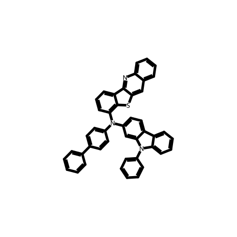 c1ccc(-c2ccc(N(c3ccc4c5ccccc5n(-c5ccccc5)c4c3)c3cccc4c3sc3cc5ccccc5nc34)cc2)cc1